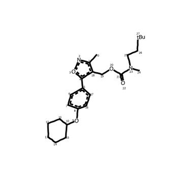 Cc1noc(-c2ccc(OC3CCCCC3)cc2)c1COC(=O)N(C)CCC(C)(C)C